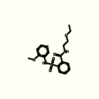 CCOCCNC(=O)c1ccccc1S(=O)(=O)Nc1cnccc1OC